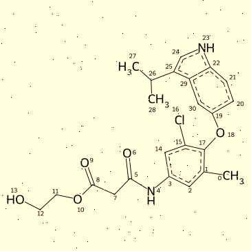 Cc1cc(NC(=O)CC(=O)OCCO)cc(Cl)c1Oc1ccc2[nH]cc(C(C)C)c2c1